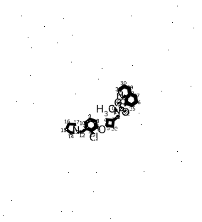 CN(CC1CC(Oc2cccc(CN3CCCC3)c2Cl)C1)S(=O)(=O)c1cccc2cccnc12